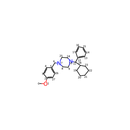 COc1ccc(CN2CCN(C(c3ccccc3)C3CCCCC3)CC2)cc1